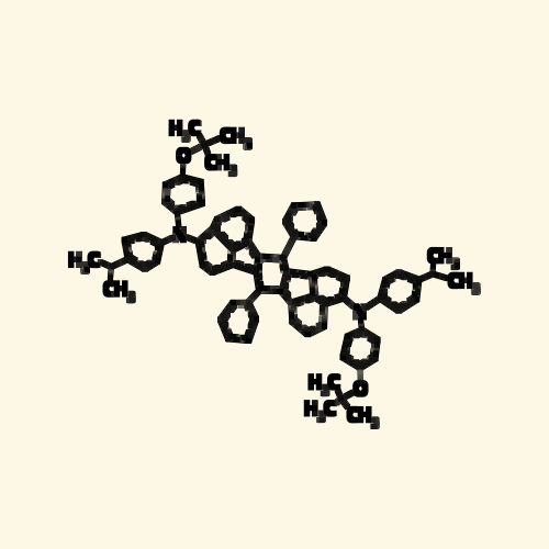 CC(C)c1ccc(N(c2ccc(OC(C)(C)C)cc2)c2ccc3c4c(-c5ccccc5)c5c6cccc7c(N(c8ccc(OC(C)(C)C)cc8)c8ccc(C(C)C)cc8)ccc(c5c(-c5ccccc5)c4c4cccc2c43)c76)cc1